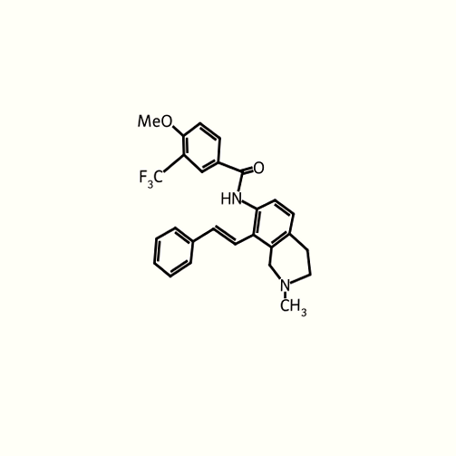 COc1ccc(C(=O)Nc2ccc3c(c2C=Cc2ccccc2)CN(C)CC3)cc1C(F)(F)F